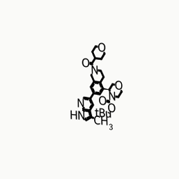 Cc1c[nH]c2ncc(-c3cc4c(c([C@H]5COCCN5C(=O)OC(C)(C)C)c3)CCN(C(=O)C3CCOCC3)C4)cc12